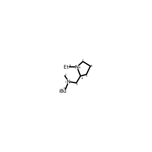 CCC(C)N(C)CC1CCCN1CC